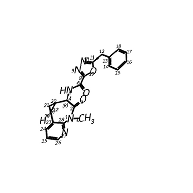 CN1C(=O)[C@H](NC(=O)c2nnc(Cc3ccccc3)o2)C2C[C@@H]2c2cccnc21